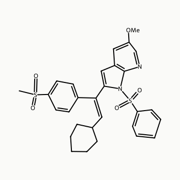 COc1cnc2c(c1)cc(C(=CC1CCCCC1)c1ccc(S(C)(=O)=O)cc1)n2S(=O)(=O)c1ccccc1